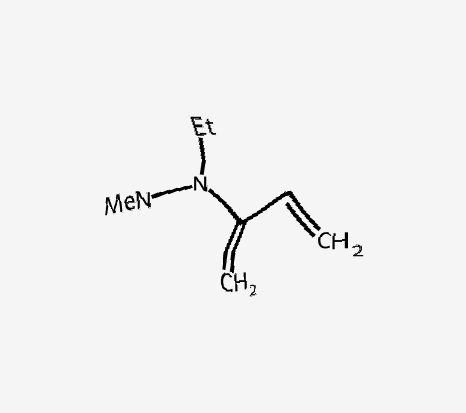 C=CC(=C)N(CC)NC